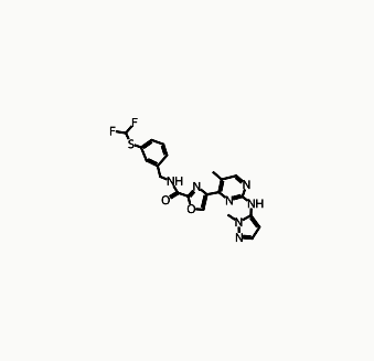 Cc1cnc(Nc2ccnn2C)nc1-c1coc(C(=O)NCc2cccc(SC(F)F)c2)n1